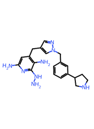 NNc1nc(N)cc(Cc2cnn(Cc3cccc(C4CCNC4)c3)c2)c1N